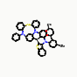 CC(C)(C)c1ccc(-c2cc(C(C)(C)C)ccc2N2c3cccc4c3B(c3ccc5cc3N4c3ccccc3Sc3ccccc3N5c3ccccc3)c3sc4ccccc4c32)cc1